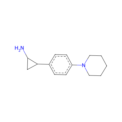 NC1CC1c1ccc(N2CCCCC2)cc1